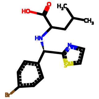 CC(C)CC(N[C@@H](c1ccc(Br)cc1)c1nccs1)C(=O)O